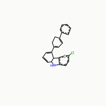 Clc1ccc2c(c1)C1C(C3=CC=C(c4ccccc4)CC3)=CC=CC1N2